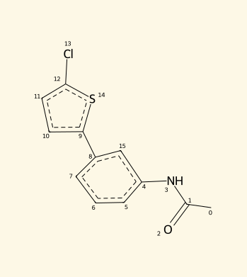 CC(=O)Nc1cccc(-c2ccc(Cl)s2)c1